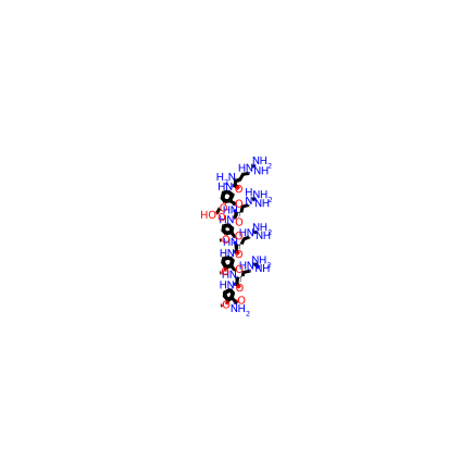 COc1ccc(NC(=O)[C@@H](CCCNC(=N)N)NC(=O)c2cc(NC(=O)[C@@H](CCCNC(=N)N)NC(=O)c3cc(NC(=O)[C@@H](CCCNC(=N)N)NC(=O)c4cc(NC(=O)[C@H](N)CCCNC(=N)N)ccc4OCC(=O)O)ccc3OC)ccc2OC)cc1C(N)=O